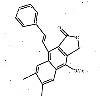 COc1c2c(c(/C=C/c3ccccc3)c3cc(C)c(C)cc13)C(=O)OC2